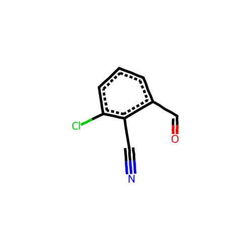 N#Cc1c(Cl)cccc1C=O